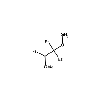 CCC(OC)C(CC)(CC)O[SiH3]